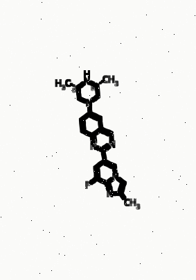 Cc1cn2cc(-c3ncc4cc(N5C[C@@H](C)N[C@@H](C)C5)ccc4n3)cc(F)c2n1